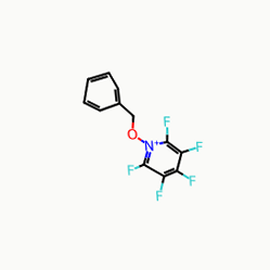 Fc1c(F)c(F)[n+](OCc2ccccc2)c(F)c1F